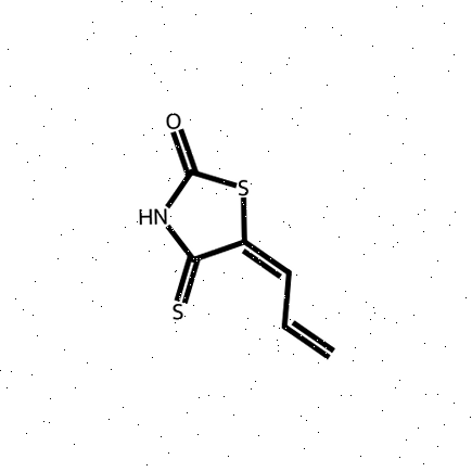 C=CC=C1SC(=O)NC1=S